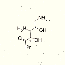 CC(C)C(=O)[C@@H](O)C(N)C(O)CN